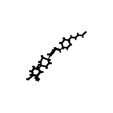 CCCCC[C@H]1CC[C@H](/C=C/C#C[C@H]2CC[C@H](c3ccc(F)c(F)c3)CC2)CC1